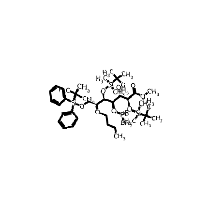 B#P(B)OC([C@H](O)[C@H](O[Si](C)(C)C(C)(C)C)C(=O)OC)[C@H](O[Si](C)(C)C(C)(C)C)[C@H](CO[Si](c1ccccc1)(c1ccccc1)C(C)(C)C)OCCCC